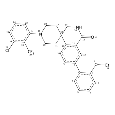 CCOc1ncccc1-c1ccc2c(n1)C(=O)NCC21CCN(c2cccc(Cl)c2C(F)(F)F)CC1